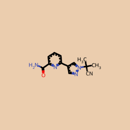 CC(C)(C#N)n1cc(-c2cccc(C(N)=O)n2)cn1